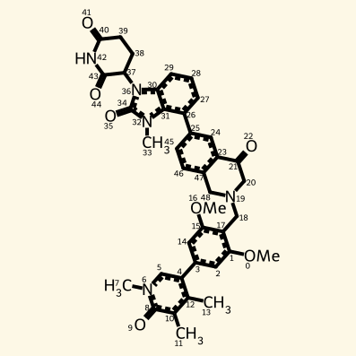 COc1cc(-c2cn(C)c(=O)c(C)c2C)cc(OC)c1CN1CC(=O)c2cc(-c3cccc4c3n(C)c(=O)n4C3CCC(=O)NC3=O)ccc2C1